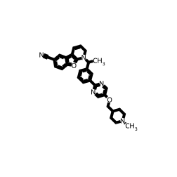 CC(c1cccc(-c2ncc(OCC3CCN(C)CC3)cn2)c1)N1CC=Cc2c1oc1ccc(C#N)cc21